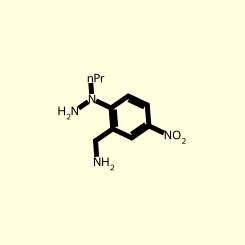 CCCN(N)c1ccc([N+](=O)[O-])cc1CN